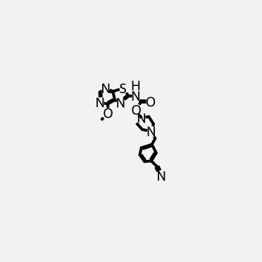 COc1ncnc2sc(NC(=O)ON3CCN(Cc4cccc(C#N)c4)CC3)nc12